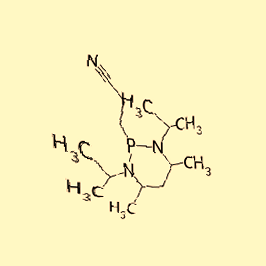 CC(C)N1C(C)CC(C)N(C(C)C)P1CCC#N